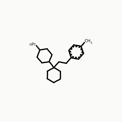 CCCC1CCC(C2(CCc3ccc(C)cc3)CCCCC2)CC1